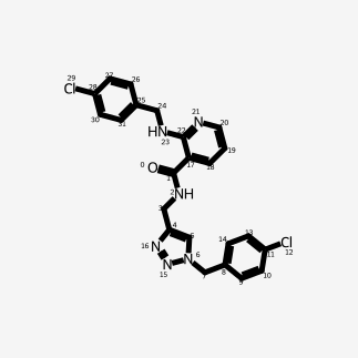 O=C(NCc1cn(Cc2ccc(Cl)cc2)nn1)c1cccnc1NCc1ccc(Cl)cc1